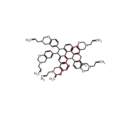 C=CCN1COc2ccc(C(Cc3c(C(c4ccc5c(c4)CN(CC=C)CO5)C(c4ccc5c(c4)CN(CC=C)CO5)c4ccc5c(c4)CN(CC=C)CO5)ccc4c3CN(CC=C)CO4)C(c3ccc4c(c3)CN(CC=C)CO4)c3ccc4c(c3)CN(CC=C)CO4)cc2C1